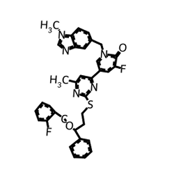 Cc1cc(-c2cc(F)c(=O)n(Cc3ccc4c(c3)ncn4C)c2)nc(SCCC(OCc2ccccc2F)c2ccccc2)n1